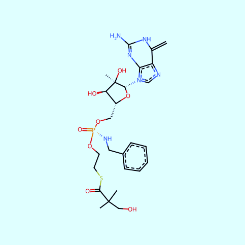 C=C1NC(N)=Nc2c1ncn2[C@@H]1O[C@H](CO[P@@](=O)(NCc2ccccc2)OCCSC(=O)C(C)(C)CO)[C@@H](O)[C@@]1(C)O